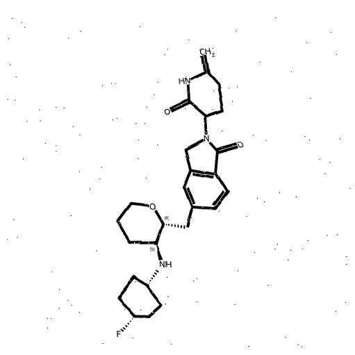 C=C1CCC(N2Cc3cc(C[C@H]4OCCC[C@@H]4N[C@H]4CC[C@@H](F)CC4)ccc3C2=O)C(=O)N1